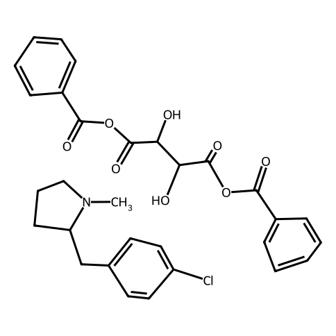 CN1CCCC1Cc1ccc(Cl)cc1.O=C(OC(=O)C(O)C(O)C(=O)OC(=O)c1ccccc1)c1ccccc1